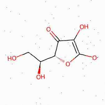 [O]C1=C(O)C(=O)[C@@H]([C@@H](O)CO)O1